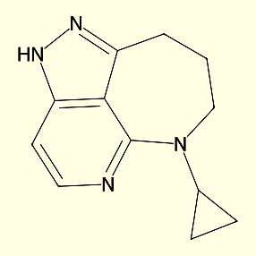 c1cc2[nH]nc3c2c(n1)N(C1CC1)CCC3